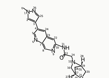 Cn1cc(-c2cnc3cnc(NC(=O)CN4C[C@@H]5C[C@H]4CO5)cc3c2)cn1